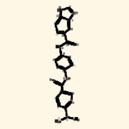 CN(C)c1ccc(C(=O)Nc2ccc(NC(=O)c3ccc4[nH]cnc4c3)cc2)cc1